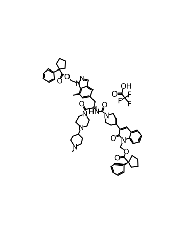 Cc1cc(C[C@@H](NC(=O)N2CCC(c3cc4ccccc4n(COC(=O)C4(c5ccccc5)CCCC4)c3=O)CC2)C(=O)N2CCN(C3CCN(C)CC3)CC2)cc2cnn(COC(=O)C3(c4ccccc4)CCCC3)c12.O=C(O)C(F)(F)F